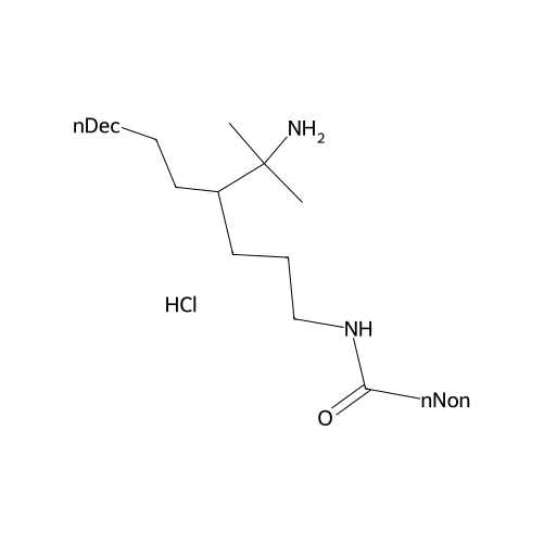 CCCCCCCCCCCCC(CCCNC(=O)CCCCCCCCC)C(C)(C)N.Cl